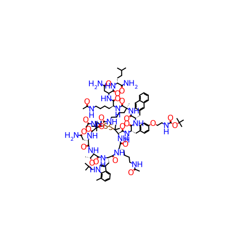 CC(=O)NCCCC[C@@H]1NC(=O)[C@H](Cc2c[nH]c3c(C)cccc23)NC(=O)[C@H]([C@@H](C)OC(C)(C)C)NC(=O)[C@H](CC(N)=O)NC(=O)[C@@H](NC(C)=O)C(C)(C)SSC(C)(C)[C@@H](C(=O)N[C@@H](Cc2ccc(OCCNC(=O)OC(C)(C)C)cc2)C(=O)N[C@@H](Cc2ccc3ccccc3c2)C(=O)N[C@@](C)(CCCCNC(=O)OC(C)(C)C)C(=O)N[C@@H](CCCCNC(C)=O)C(=O)NC(CC(N)=O)C(=O)N[C@H](CCC(C)C)C(N)=O)NC1=O